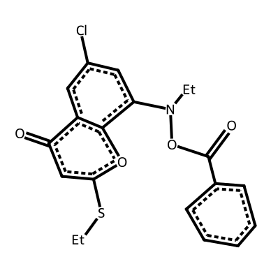 CCSc1cc(=O)c2cc(Cl)cc(N(CC)OC(=O)c3ccccc3)c2o1